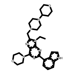 CCn1c(CN2CCN(C3CCOCC3)CC2)nc2c(N3CCOCC3)nc(-c3cccc4[nH]ccc34)nc21